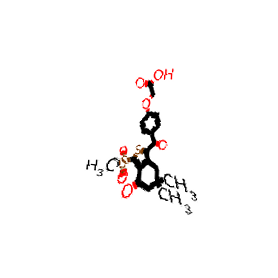 CC1(C)CC(=O)c2c(S(C)(=O)=O)sc(C(=O)c3ccc(OCC(=O)O)cc3)c2C1